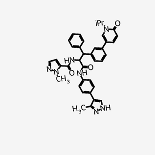 Cc1n[nH]cc1-c1ccc(NC(=O)C(NC(=O)c2ccnn2C)C(c2ccccc2)c2cccc(-c3ccc(=O)n(C(C)C)c3)c2)cc1